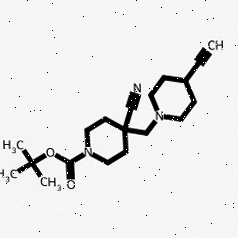 C#CC1CCN(CC2(C#N)CCN(C(=O)OC(C)(C)C)CC2)CC1